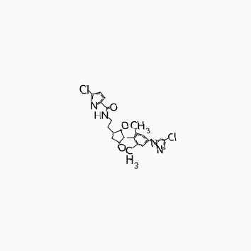 Cc1cc(-n2cc(Cl)cn2)cc(C)c1C1C(=O)CC(CCNC(=O)c2ccc(Cl)cn2)C1=O